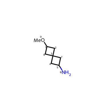 COC1CC2(CC(N)C2)C1